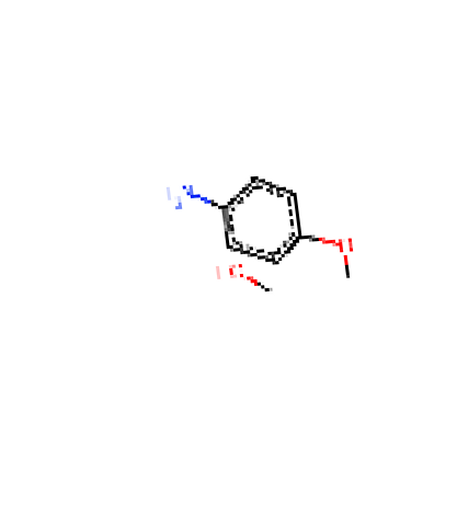 CO.COc1ccc(N)cc1